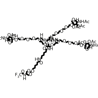 CC(=O)N[C@H]1[C@@H]2OC[C@](COCCOCCOCCOCCn3cc(COCC(COCC4=CN(CCOCCOCCOCCOC[C@@]56CO[C@@H](O5)[C@H](NC(C)=O)[C@@H](OC(C)=O)C6C)NN4)(COCc4cn(CCOCCOCCOCCO[C@@]56CO[C@@H](O5)[C@H](NC(C)=O)C(OC(C)=O)[C@H]6OC(C)=O)nn4)NC(=O)CCCCCNC(=O)CCCCCOC4OCC(NC(=O)C(F)(F)F)CO4)nn3)(O2)[C@H](OC(C)=O)[C@@H]1OC(C)=O